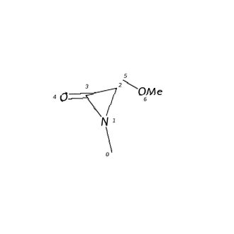 CN1CC1=O.COC